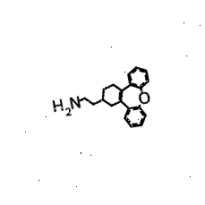 NCCC1CCC2=C(C1)c1ccccc1Oc1ccccc12